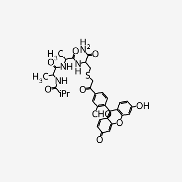 CC(C)C(=O)NC(C)C(=O)N[C@@H](C)C(=O)NC(CSCC(=O)c1ccc(-c2c3ccc(=O)cc-3oc3cc(O)ccc23)c(C=O)c1)C(N)=O